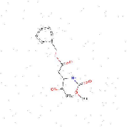 COC(=O)C(CC(=O)OCc1ccccc1)NC(=O)OC(C)(C)C